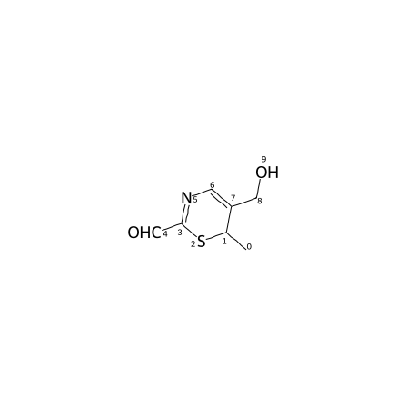 CC1SC(C=O)=NC=C1CO